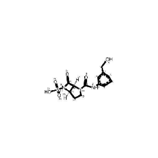 O=C(Nc1cccc(CO)c1)N1CC[C@@H]2[C@H]1C(=O)N2S(=O)(=O)O